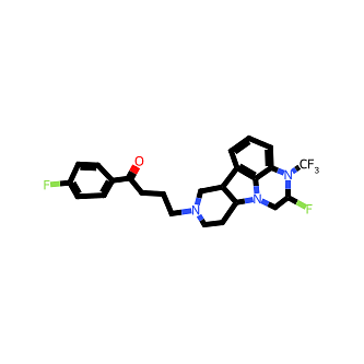 O=C(CCCN1CCC2C(C1)c1cccc3c1N2CC(F)N3C(F)(F)F)c1ccc(F)cc1